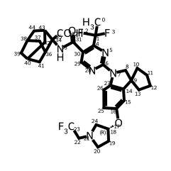 CC(F)(F)c1nc(N2CC3(CCCC3)c3cc(O[C@@H]4CCN(CC(F)(F)F)C4)ccc32)ncc1C(=O)NC1(C(=O)O)C2CC3CC(C2)CC1C3